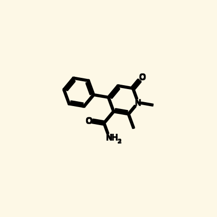 Cc1c(C(N)=O)c(-c2ccccc2)cc(=O)n1C